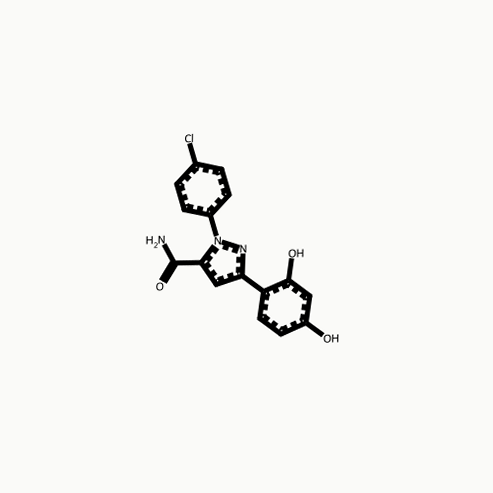 NC(=O)c1cc(-c2ccc(O)cc2O)nn1-c1ccc(Cl)cc1